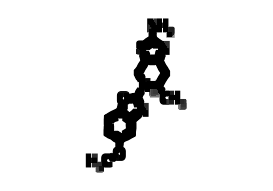 COc1ccc2oc(N3Cc4sc(N)nc4C[C@H]3C)nc2c1